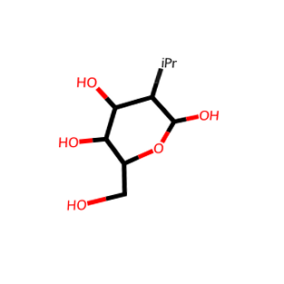 CC(C)C1C(O)OC(CO)C(O)C1O